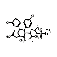 CNS(=O)(=O)CC(C)C[C@@H](C(C)C)N1C(=O)[C@@](C)(CC(=O)O)C[C@H](c2cccc(Cl)c2)[C@H]1c1ccc(Cl)cc1